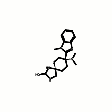 Cn1c2ccccc2nc1[C@]1(N(C)C)CC[C@]2(CC1)CNC(O)N2